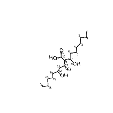 CCCCCCCC(O)=C(C(=O)O)C(=O)CC(O)CCCCC